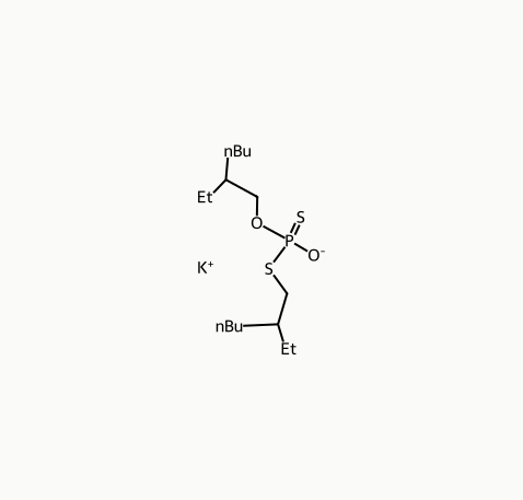 CCCCC(CC)COP([O-])(=S)SCC(CC)CCCC.[K+]